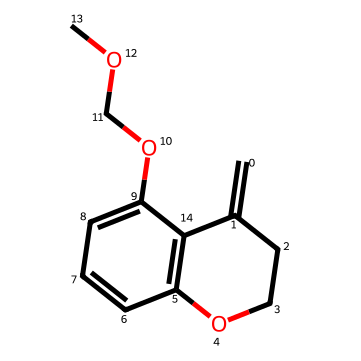 C=C1CCOc2cccc(OCOC)c21